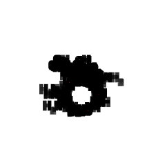 CCCCC1NC(=O)[C@H](CCCCN)NC(=O)[C@H](CCCNC(=N)N)NC(=O)[C@H](CC(C)C)NC(=O)[C@@H](NC(=O)[C@H](CCSC)NC(=O)[C@@H]2CCCN2C(=O)C(NC(=O)[C@@H](NC(C)=O)[C@@H](C)O)C(C)C)CCSSC[C@@H](C(=O)N[C@@H](CCCCN)C(=O)N2CCC[C@H]2C(=O)N2CCC[C@H]2C(=O)N[C@@H](CCC(=O)O)C(N)=O)NC(=O)[C@H](Cc2ccccc2)NC(=O)[C@H](CO)NC(=O)C(C)NC(=O)[C@@H]2CCCN2C1=O